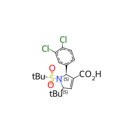 CC(C)(C)[C@@H]1C=C(C(=O)O)[C@H](c2ccc(Cl)c(Cl)c2)N1S(=O)(=O)C(C)(C)C